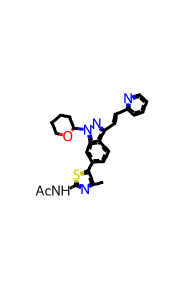 CC(=O)Nc1nc(C)c(-c2ccc3c(/C=C/c4ccccn4)nn(C4CCCCO4)c3c2)s1